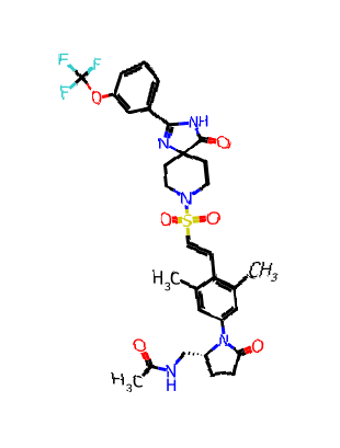 CC(=O)NC[C@H]1CCC(=O)N1c1cc(C)c(C=CS(=O)(=O)N2CCC3(CC2)N=C(c2cccc(OC(F)(F)F)c2)NC3=O)c(C)c1